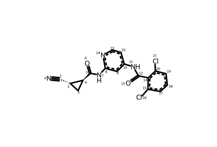 N#C[C@H]1C[C@@H]1C(=O)Nc1cc(NC(=O)c2c(Cl)cccc2Cl)ccn1